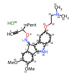 C#C[C@@H](CCCCC)ON=C1c2cc(OC)c(OC)cc2-c2[nH]c3ccc(OCCN(C)C)cc3c21.Cl